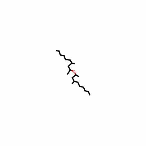 CCCCCCC(C)CC(C)OC(C)CC(C)CCCCCC